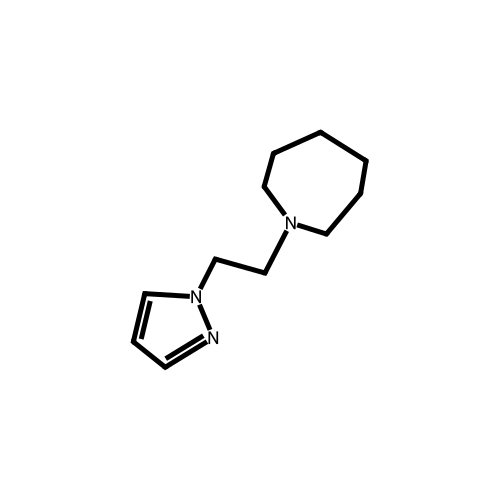 c1cnn(CCN2CCCCCC2)c1